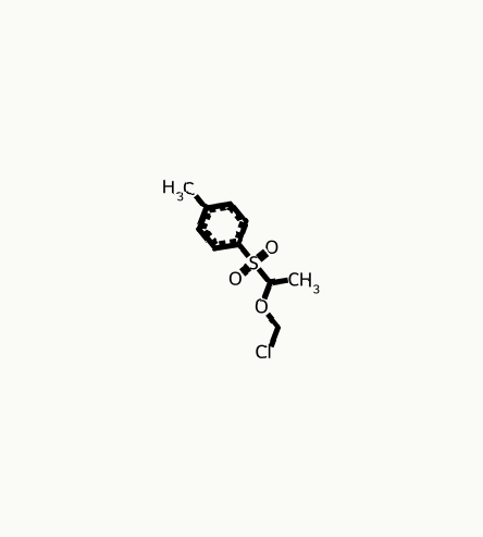 Cc1ccc(S(=O)(=O)C(C)OCCl)cc1